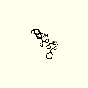 CCC(OC(=O)c1cc2occc2[nH]1)OC(=O)C1CCCCC1